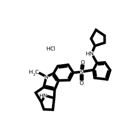 Cl.Cn1c2c(c3cc(S(=O)(=O)c4ccccc4NC4CCCC4)ccc31)C1CCC(C2)N1